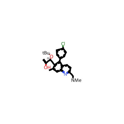 C=C(O)[C@@H](OC(C)(C)C)c1c(C)cc2nc(CNC)ccc2c1-c1ccc(Cl)cc1